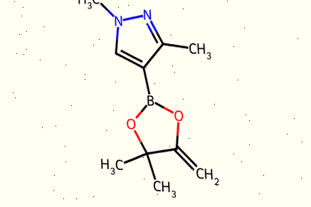 C=C1OB(c2cn(C)nc2C)OC1(C)C